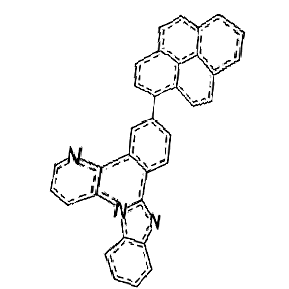 c1cc2ccc3ccc(-c4ccc5c(c4)c4ncccc4n4c6ccccc6nc54)c4ccc(c1)c2c34